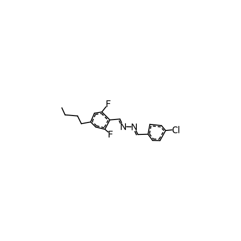 CCCCc1cc(F)c(C=NN=Cc2ccc(Cl)cc2)c(F)c1